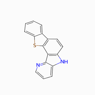 c1cnc2c(c1)[nH]c1ccc3c4ccccc4sc3c12